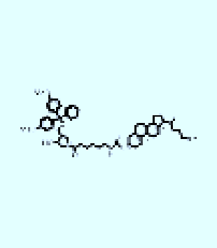 COc1ccc(C(OCC2CN(C(=O)CCCCCNC(=O)O[C@H]3CC[C@@]4(C)C(=CCC5C6CCC(C(C)CCCC(C)C)[C@@]6(C)CCC54)C3)CC2O)(c2ccccc2)c2ccc(OC)cc2)cc1